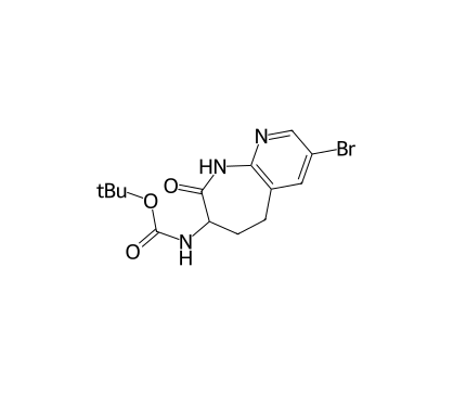 CC(C)(C)OC(=O)NC1CCc2cc(Br)cnc2NC1=O